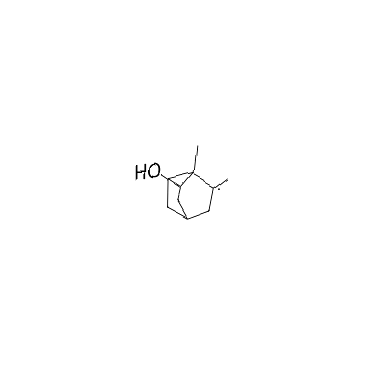 C[C]1CC2CCC1(C)C(O)C2